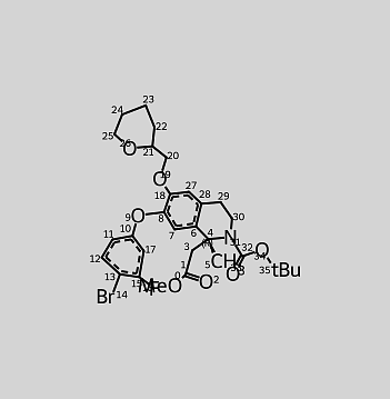 COC(=O)C[C@]1(C)c2cc(Oc3ccc(Br)c(F)c3)c(OCC3CCCCO3)cc2CCN1C(=O)OC(C)(C)C